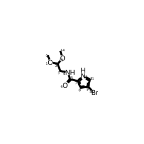 COC(CNC(=O)c1cc(Br)c[nH]1)OC